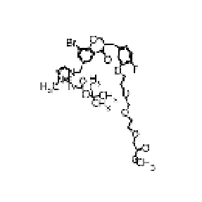 COC(=O)COCCOCCOCCOc1cc(CC2COc3c(Br)cc(Cn4ccn(C)/c4=N/C(=O)OC(C)(C)C)cc3C2=O)ccc1F